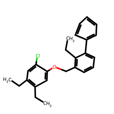 CCc1cc(Cl)c(OCc2cccc(-c3ccccc3)c2CC)cc1CC